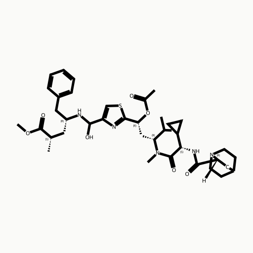 COC(=O)[C@@H](C)C[C@H](Cc1ccccc1)NC(O)c1csc([C@@H](C[C@H](C(C)C)N(C)C(=O)[C@@H](NC(=O)[C@H]2CC3CCN2CC3)C2CC2)OC(C)=O)n1